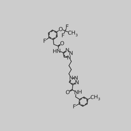 Cc1ccc(F)c(CNC(=O)c2cn(CCCCn3cc(NC(=O)Cc4cc(OC(C)(F)F)ccc4F)nn3)nn2)c1